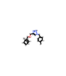 Cc1ccc(Cn2cc(COCC3CC4C=C[C@H]3C4)nn2)cc1